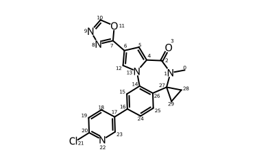 CN1C(=O)c2cc(-c3nnco3)cn2-c2cc(-c3ccc(Cl)nc3)ccc2C12CC2